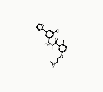 Cc1ccc(OCCN(C)C)cc1C(=O)N[C@H](C)c1cc(Cl)cc(-c2cccs2)c1